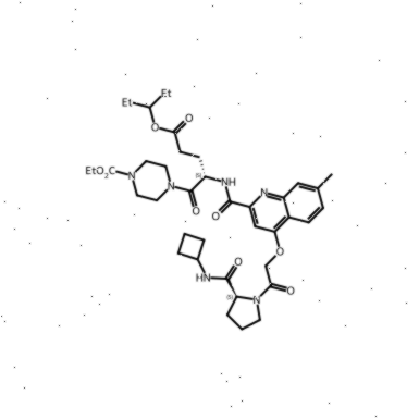 CCOC(=O)N1CCN(C(=O)[C@H](CCC(=O)OC(CC)CC)NC(=O)c2cc(OCC(=O)N3CCC[C@H]3C(=O)NC3CCC3)c3ccc(C)cc3n2)CC1